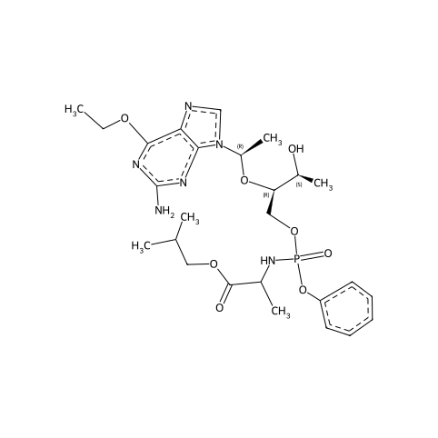 CCOc1nc(N)nc2c1ncn2[C@@H](C)O[C@H](COP(=O)(NC(C)C(=O)OCC(C)C)Oc1ccccc1)[C@H](C)O